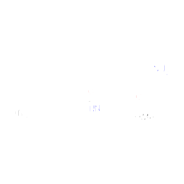 COc1cc(NC(=O)/C=C/c2ccc(C(C)(C)C)cc2)ccc1OCCN